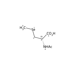 C[Se]C[C@@H](NC(C)=O)C(=O)O